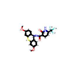 COc1ccc2c(c1)Sc1cc(OC)ccc1C2NC(=O)c1ccc(C(F)(F)F)[nH]c1=O